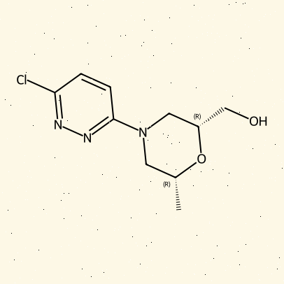 C[C@@H]1CN(c2ccc(Cl)nn2)C[C@H](CO)O1